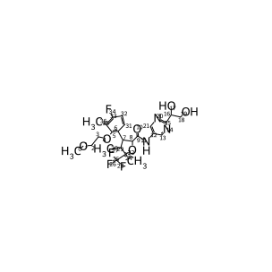 COCCOc1c(C2C(C(=O)Nc3cnc(C(O)CO)nc3)OC(C)(C(F)(F)F)C2C)ccc(F)c1C